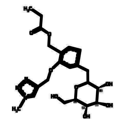 CCC(=O)OCc1ccc(CC2O[C@H](CO)[C@@H](O)[C@H](O)[C@H]2O)cc1OCc1cn(C)nn1